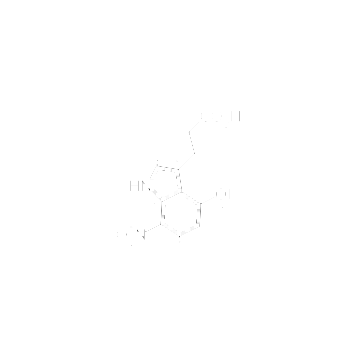 O=C(O)CCc1c[nH]c2c([N+](=O)[O-])ccc(O)c12